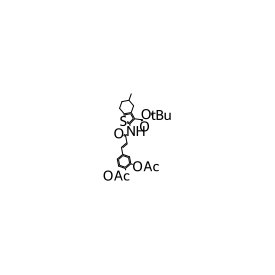 CC(=O)Oc1ccc(C=CC(=O)Nc2sc3c(c2C(=O)OC(C)(C)C)CC(C)CC3)cc1OC(C)=O